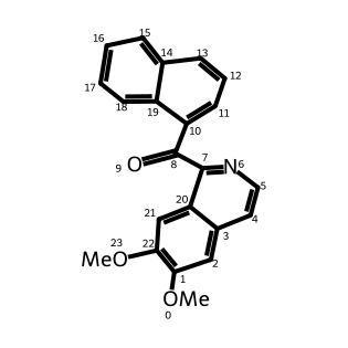 COc1cc2ccnc(C(=O)c3cccc4ccccc34)c2cc1OC